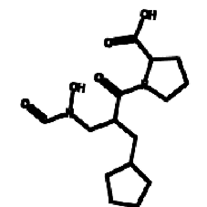 O=CN(O)CC(CC1CCCC1)C(=O)N1CCCC1C(=O)O